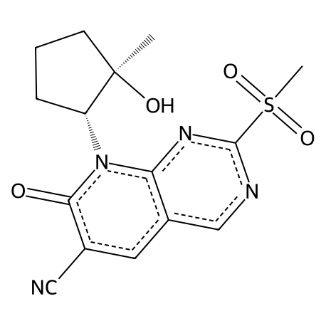 C[C@@]1(O)CCC[C@H]1n1c(=O)c(C#N)cc2cnc(S(C)(=O)=O)nc21